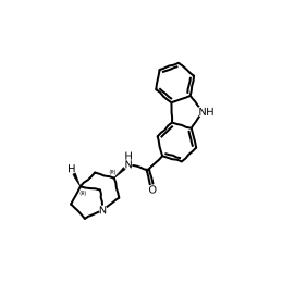 O=C(N[C@@H]1C[C@H]2CCN(C2)C1)c1ccc2[nH]c3ccccc3c2c1